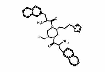 CC(C)C[C@@H]1CN(C(=O)C(N)Cc2ccc3ccccc3c2)[C@@H](CCCn2cncn2)CN1C(=O)C(N)Cc1ccc2ccccc2c1